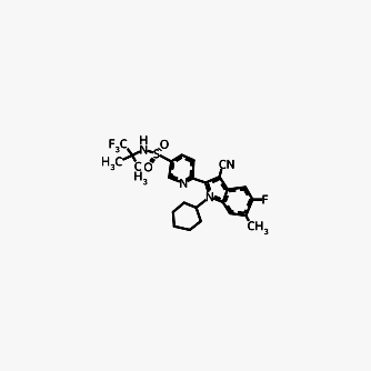 Cc1cc2c(cc1F)c(C#N)c(-c1ccc(S(=O)(=O)NC(C)(C)C(F)(F)F)cn1)n2C1CCCCC1